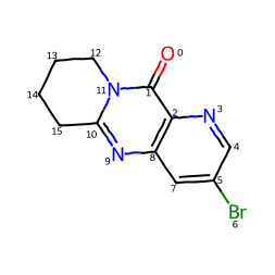 O=c1c2ncc(Br)cc2nc2n1CCCC2